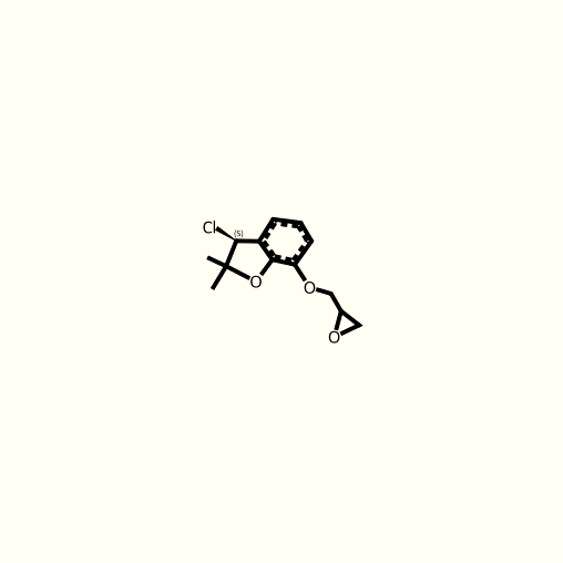 CC1(C)Oc2c(OCC3CO3)cccc2[C@@H]1Cl